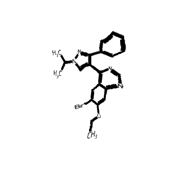 CCOc1cc2ncnc(-c3cn(C(C)C)nc3-c3ccccc3)c2cc1Br